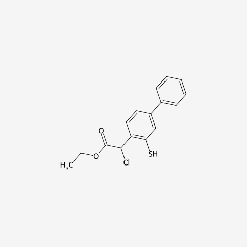 CCOC(=O)C(Cl)c1ccc(-c2ccccc2)cc1S